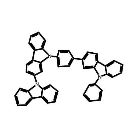 c1ccc(-n2c3ccccc3c3ccc(-c4ccc(-n5c6ccccc6c6ccc(-n7c8ccccc8c8ccccc87)cc65)cc4)cc32)cc1